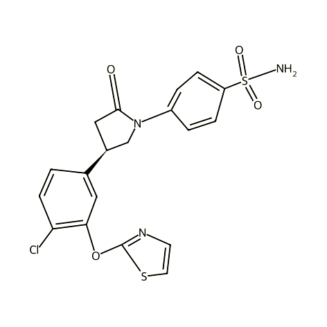 NS(=O)(=O)c1ccc(N2C[C@@H](c3ccc(Cl)c(Oc4nccs4)c3)CC2=O)cc1